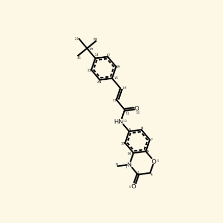 CN1C(=O)COc2ccc(NC(=O)/C=C/c3ccc(C(C)(C)C)cc3)cc21